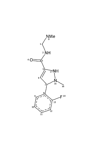 CNCNC(=O)C1=CC(c2ccccc2F)N(C)N1